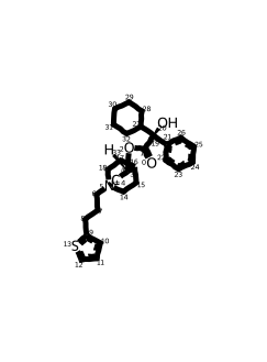 O=C(O[C@H]1C[N+]2(CCCc3cccs3)CCC1CC2)[C@@](O)(c1ccccc1)C1CCCCC1